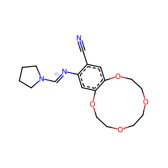 N#Cc1cc2c(cc1/N=C/N1CCCC1)OCCOCCOCCO2